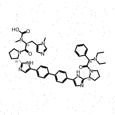 CCN(CC)[C@@H](C(=O)N1CCC[C@H]1c1ncc(-c2ccc(-c3ccc(-c4cnc([C@@H]5CCCN5C(=O)[C@H](Cc5cncn5C)N(C)C(=O)O)[nH]4)cc3)cc2)[nH]1)c1ccccc1